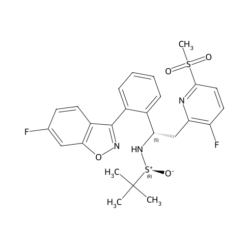 CC(C)(C)[S@+]([O-])N[C@@H](Cc1nc(S(C)(=O)=O)ccc1F)c1ccccc1-c1noc2cc(F)ccc12